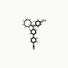 N#Cc1ccc(-c2ccc(C(=C3CCCCCCC3)c3ccc(O)cc3)cc2)cc1